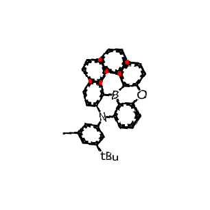 Cc1cc(N2c3cccc4c3B(c3c(cccc3-c3ccccc3)O4)c3c(-c4ccccc4)cccc32)cc(C(C)(C)C)c1